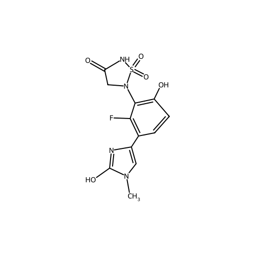 Cn1cc(-c2ccc(O)c(N3CC(=O)NS3(=O)=O)c2F)nc1O